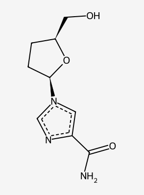 NC(=O)c1cn([C@H]2CC[C@@H](CO)O2)cn1